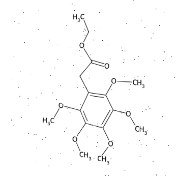 CCOC(=O)Cc1c(OC)c(OC)c(OC)c(OC)c1OC